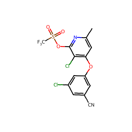 Cc1cc(Oc2cc(Cl)cc(C#N)c2)c(Cl)c(OS(=O)(=O)C(F)(F)F)n1